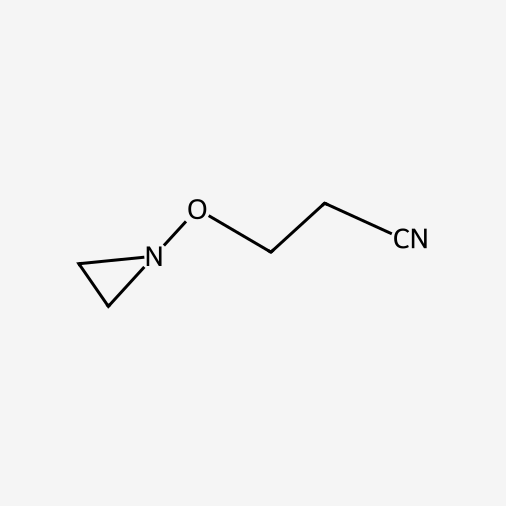 N#CCCON1CC1